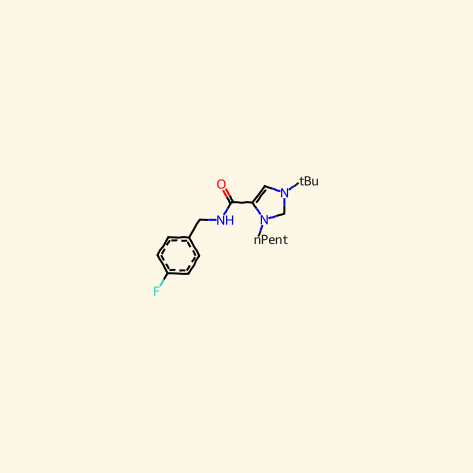 CCCCCN1CN(C(C)(C)C)C=C1C(=O)NCc1ccc(F)cc1